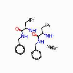 CC(C)CC([NH-])C(=O)NCc1ccccc1.CC(C)CC([NH-])C(=O)NCc1ccccc1.[Na+].[Na+]